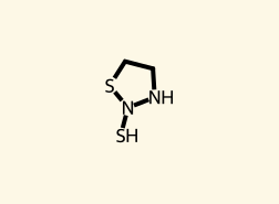 SN1NCCS1